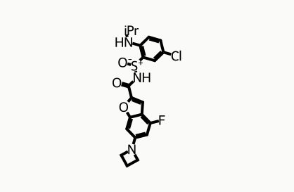 CC(C)Nc1ccc(Cl)cc1[S+]([O-])NC(=O)c1cc2c(F)cc(N3CCC3)cc2o1